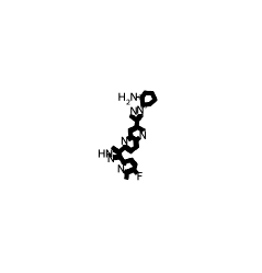 Cc1nc(-c2n[nH]cc2-c2ccc3ncc(-c4cnn([C@H]5CCCC[C@H]5N)c4)cc3n2)ccc1F